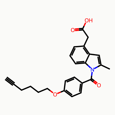 C#CCCCCOc1ccc(C(=O)n2c(C)cc3c(CC(=O)O)cccc32)cc1